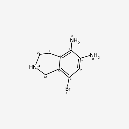 Nc1cc(Br)c2c(c1N)CCNC2